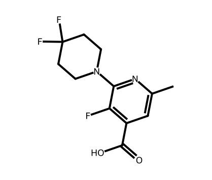 Cc1cc(C(=O)O)c(F)c(N2CCC(F)(F)CC2)n1